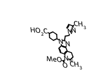 COC(=O)N1c2ccc3c(nc(CCn4ccc(C)n4)n3C3CCC(C(=O)O)CC3)c2CC[C@@H]1C